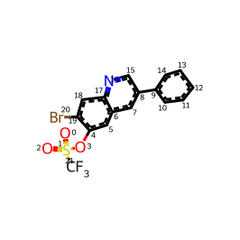 O=S(=O)(Oc1cc2cc(-c3ccccc3)cnc2cc1Br)C(F)(F)F